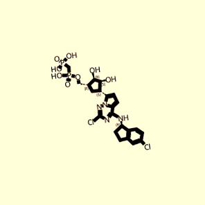 O=P(O)(O)CP(=O)(O)OC[C@H]1C[C@@H](c2ccc3c(N[C@@H]4CCc5cc(Cl)ccc54)nc(Cl)nn23)[C@H](O)[C@@H]1O